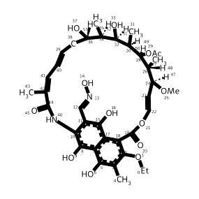 CCOc1c(C)c(O)c2c(O)c3c(/C=N/O)c(O)c2c1C(=O)O/C=C/[C@H](OC)[C@@H](C)[C@@H](OC(C)=O)[C@H](C)[C@H](O)[C@H](C)[C@@H](O)C/C=C/C=C(/C)C(=O)N3